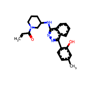 C=CC(=O)N1CCCC(Nc2nnc(-c3ccc(C)cc3O)c3ccccc23)C1